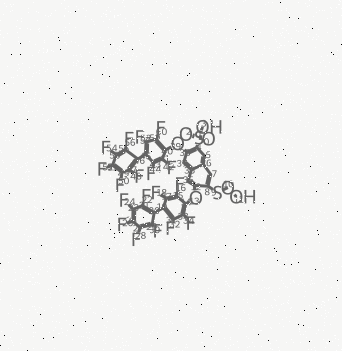 O=S(=O)(O)c1cc2cc(SOO)c(Oc3c(F)c(F)c(-c4c(F)c(F)c(F)c(F)c4F)c(F)c3F)cc2cc1Oc1c(F)c(F)c(-c2c(F)c(F)c(F)c(F)c2F)c(F)c1F